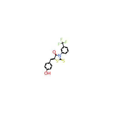 O=C1C(=Cc2ccc(O)cc2)SC(=S)N1c1cccc(C(F)(F)F)c1